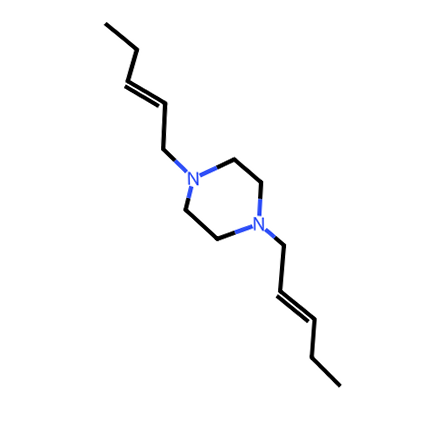 CC/C=C/CN1CCN(C/C=C/CC)CC1